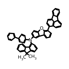 CC1(C)c2ccccc2-c2c(N(c3ccc(-c4ccccc4)cc3)c3ccc4oc5c(-c6ccc7c8c(cccc68)-c6ccccc6-7)cccc5c4c3)cccc21